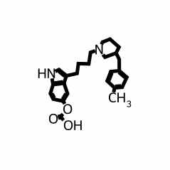 Cc1ccc(CC2CCCN(CCCCc3c[nH]c4ccc(OC(=O)O)cc34)C2)cc1